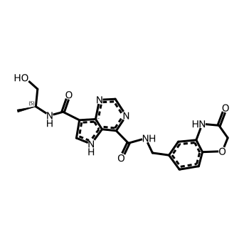 C[C@@H](CO)NC(=O)c1c[nH]c2c(C(=O)NCc3ccc4c(c3)NC(=O)CO4)ncnc12